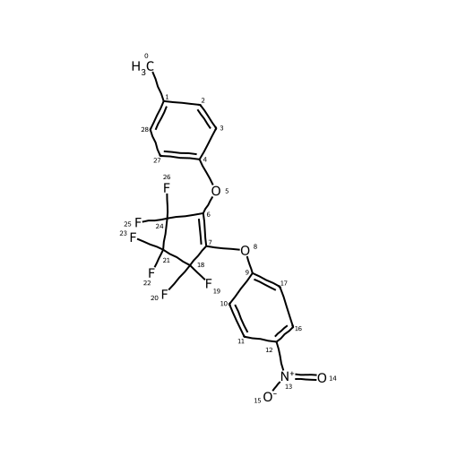 Cc1ccc(OC2=C(Oc3ccc([N+](=O)[O-])cc3)C(F)(F)C(F)(F)C2(F)F)cc1